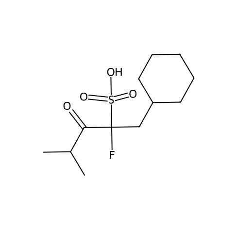 CC(C)C(=O)C(F)(CC1CCCCC1)S(=O)(=O)O